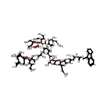 CC(=O)NC[C@H](OC1C(O)[C@H](O)C(CO)O[C@@H]1OC(C(O)C(C)CO[C@@H](O)CO[C@@H]1OC(CO)[C@@H](O[C@@H]2OC(CO)[C@H](O)C(O)C2O)C(O)C1NC(C)=O)C(O)C(O)OC1C(CO)OC(OC2C(CO)OC(NC(=O)CC(NC(=O)OCC3c4ccccc4-c4ccccc43)C(=O)O)C(NC(C)=O)C2O)C(NC(C)=O)C1O)OC(CO)[C@H](CO)O[C@@H](CO)OC(CO)[C@H](O)CO